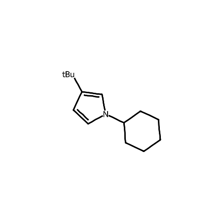 CC(C)(C)c1ccn(C2CCCCC2)c1